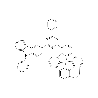 c1ccc(-c2nc(-c3ccc4c(c3)c3ccccc3n4-c3ccccc3)nc(-c3cccc4c3-c3ccccc3C43c4cccc5ccc6cccc3c6c45)n2)cc1